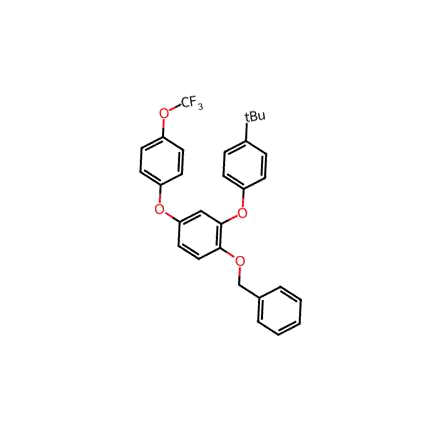 CC(C)(C)c1ccc(Oc2cc(Oc3ccc(OC(F)(F)F)cc3)ccc2OCc2ccccc2)cc1